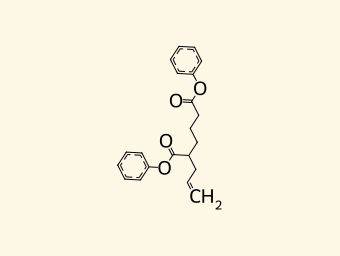 C=CCC(CCCC(=O)Oc1ccccc1)C(=O)Oc1ccccc1